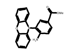 COC(=O)c1ccc(N)c(N2c3ccccc3Oc3ccccc32)c1